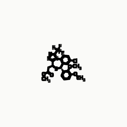 COC(=O)C[C@@H]1S[C@@H](c2cccc(OC)c2OC)c2cc(Cl)cc(F)c2-n2c1nnc2C(F)(F)F